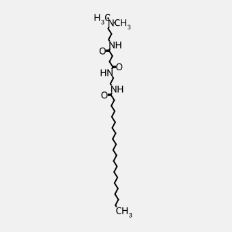 CCCCCCCCCCCCCCCCCCCCCC(=O)NCCNC(=O)CCC(=O)NCCCN(C)C